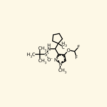 Cn1cc(OC(F)F)c(C(N[S@+]([O-])C(C)(C)C)C2(C)CCCC2)n1